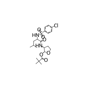 CC(C)CC(NS(=O)(=O)c1ccc(Cl)cc1)C(=O)N[C@H]1CCO[C@H]1OC(=O)C(C)(C)C